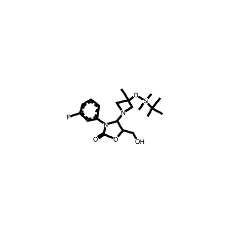 CC1(O[Si](C)(C)C(C)(C)C)CN(C2C(CO)OC(=O)N2c2cccc(F)c2)C1